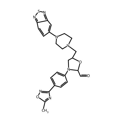 Cc1nc(-c2ccc(N3CC(CN4CCN(c5ccc6nsnc6c5)CC4)OC3C=O)cc2)no1